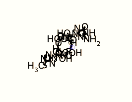 CSc1ncnc2c1ncn2[C@@H]1O[C@@H]2COP(=O)(O)O[C@H]3[C@@H](O)[C@H](n4cnc5c(=O)[nH]c(N)nc54)O[C@@H]3/C=C\P(=O)(O)O[C@H]2[C@H]1O